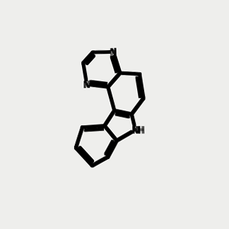 c1ccc2c(c1)[nH]c1ccc3nccnc3c12